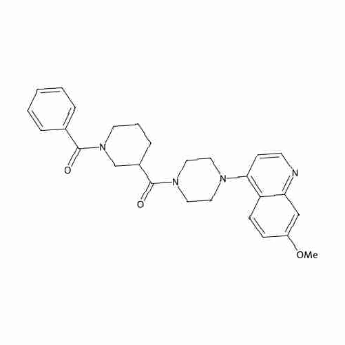 COc1ccc2c(N3CCN(C(=O)C4CCCN(C(=O)c5ccccc5)C4)CC3)ccnc2c1